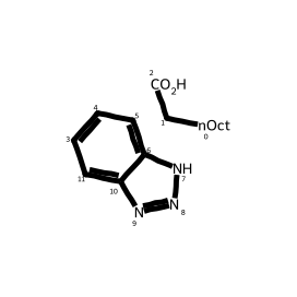 CCCCCCCCCC(=O)O.c1ccc2[nH]nnc2c1